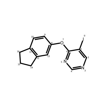 Ic1cncnc1Oc1ccc2c(c1)CCC2